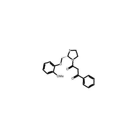 COc1ccccc1OC[C@@H]1SCCN1C(=O)CC(=O)c1ccccc1